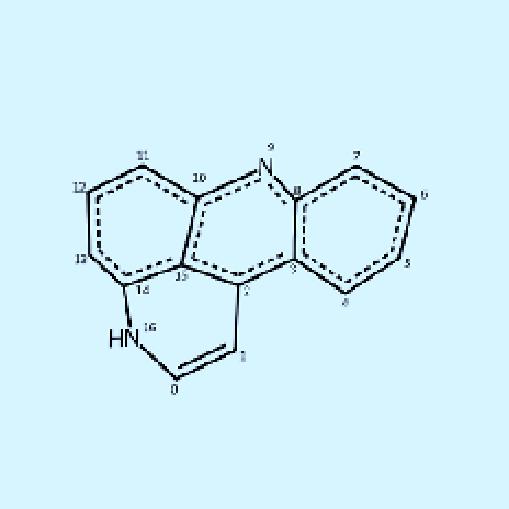 C1=Cc2c3ccccc3nc3cccc(c23)N1